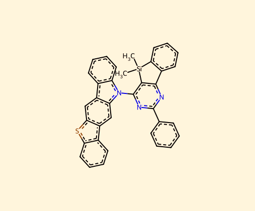 C[Si]1(C)c2ccccc2-c2nc(-c3ccccc3)nc(-n3c4ccccc4c4cc5sc6ccccc6c5cc43)c21